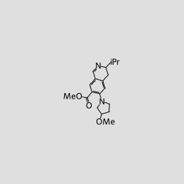 COC(=O)c1cc2c(cc1N1CCC(OC)C1)CC(C(C)C)N=C2